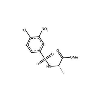 COC(=O)[C@H](C)NS(=O)(=O)c1ccc(Cl)c([N+](=O)[O-])c1